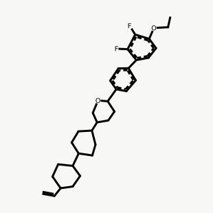 C=CC1CCC(C2CCC(C3CCC(c4ccc(-c5ccc(OCC)c(F)c5F)cc4)OC3)CC2)CC1